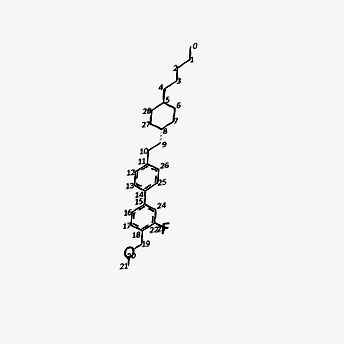 CCCCC[C@H]1CC[C@H](CCc2ccc(-c3ccc(COC)c(F)c3)cc2)CC1